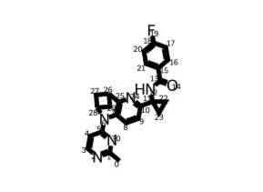 Cc1nccc(N2c3ccc(C4(NC(=O)c5ccc(F)cc5)CC4)nc3C3CC2C3)n1